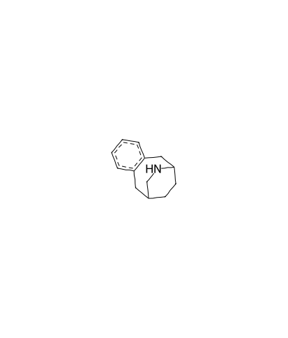 c1ccc2c(c1)CC1CCC(C2)NC1